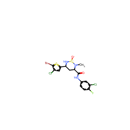 CN1C(C(=O)Nc2ccc(F)c(Cl)c2)CC(c2cc(Cl)c(Br)s2)N[S+]1[O-]